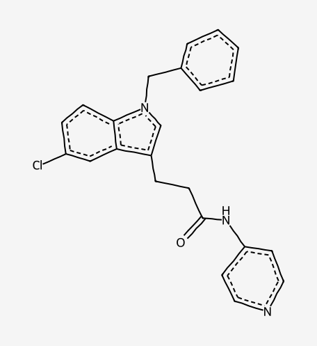 O=C(CCc1cn(Cc2ccccc2)c2ccc(Cl)cc12)Nc1ccncc1